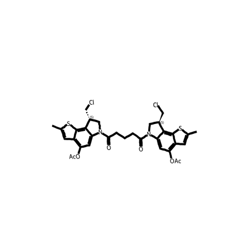 CC(=O)Oc1cc2c(c3sc(C)cc13)[C@H](CCl)CN2C(=O)CCCC(=O)N1C[C@@H](CCl)c2c1cc(OC(C)=O)c1cc(C)sc21